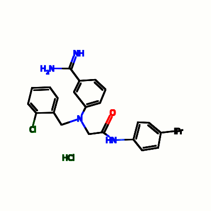 CC(C)c1ccc(NC(=O)CN(Cc2ccccc2Cl)c2cccc(C(=N)N)c2)cc1.Cl